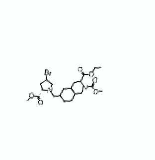 CCOC(=O)C1CC2CC(CN3C[C@H](Br)C[C@H]3C(=O)OC)CCC2CN1C(=O)OC